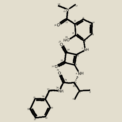 CC(C)[C@@H](Nc1c(Nc2cccc(C(=O)N(C)C)c2O)c(=O)c1=O)C(=O)NCc1ccccc1